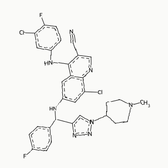 CN1CCC(n2cc(C(Nc3cc(Cl)c4ncc(C#N)c(Nc5ccc(F)c(Cl)c5)c4c3)c3ccc(F)cc3)nn2)CC1